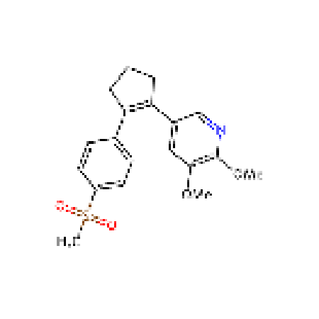 COc1cc(C2=C(c3ccc(S(C)(=O)=O)cc3)CCC2)cnc1OC